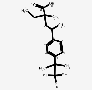 CCC(C)(CC(C)c1ccc(C(C)(C)C(F)(F)F)cc1)C(=O)O